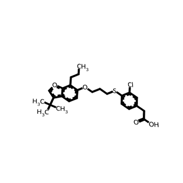 CCCc1c(OCCCSc2ccc(CC(=O)O)cc2Cl)ccc2c(C(C)(C)C)coc12